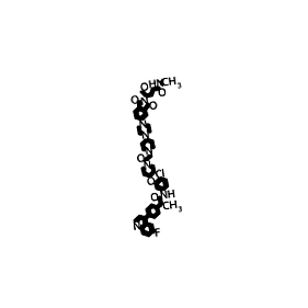 CNC(=O)CCC(C=O)N1C(=O)c2ccc(N3CCN(C4CCN(CC(=O)N5CCC(Oc6cc(NC(=O)C(C)C7CC=C(c8ccnc9ccc(F)cc89)CC7)ccc6Cl)CC5)CC4)CC3)cc2C1=O